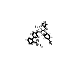 Cn1cncc1CN(CCCc1ccc(-c2ccccc2C(N)=O)cc1)c1ccc(C#N)cc1F